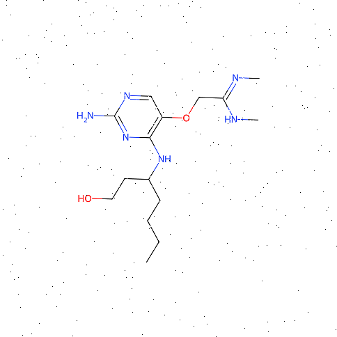 CCCCC(CCO)Nc1nc(N)ncc1OC/C(=N/C)NC